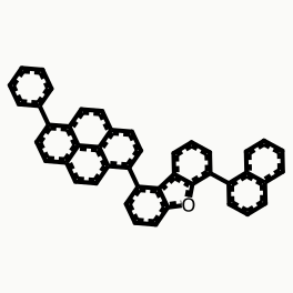 c1ccc(-c2ccc3ccc4c(-c5cccc6oc7c(-c8cccc9ccccc89)cccc7c56)ccc5ccc2c3c54)cc1